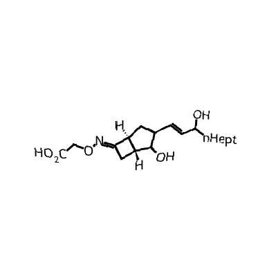 CCCCCCCC(O)C=CC1C[C@@H]2C(=NOCC(=O)O)C[C@H]2C1O